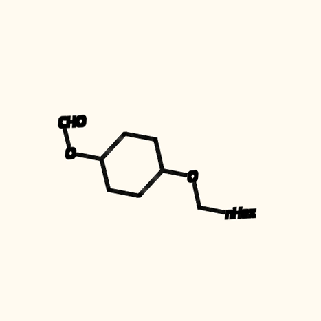 CCCCCCCOC1CCC(OC=O)CC1